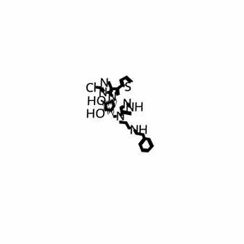 O[C@@H]1[C@@H](CN(CCCNCCc2ccccc2)c2cn[nH]c2)C[C@@H](n2cc(-c3cccs3)c3cnc(Cl)nc32)[C@@H]1O